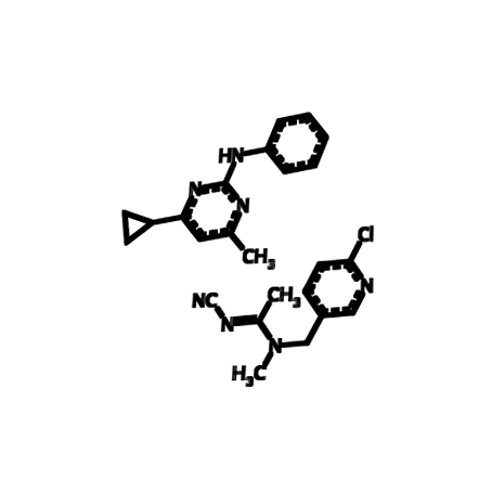 C/C(=N\C#N)N(C)Cc1ccc(Cl)nc1.Cc1cc(C2CC2)nc(Nc2ccccc2)n1